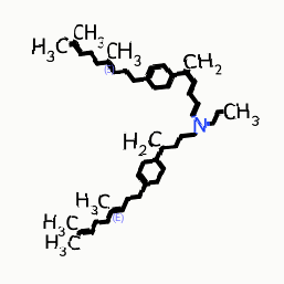 C=C(CCCCN(CCC)CCCC(=C)C1CC=C(CC/C=C(\C)CCC=C(C)C)CC1)C1CC=C(CC/C=C(\C)CCC=C(C)C)CC1